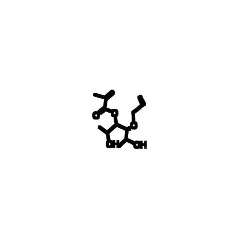 C=CCO[C](C(C)O)C(OC(=O)C(=C)C)C(C)O